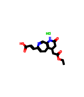 CCOC(=O)CC1CC(=O)NC2=C1CC=C(/C=C/C(=O)O)N=C2.Cl